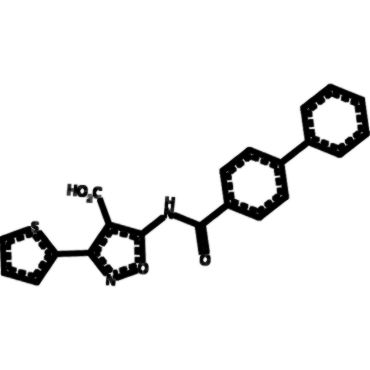 O=C(Nc1onc(-c2cccs2)c1C(=O)O)c1ccc(-c2ccccc2)cc1